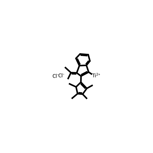 CC(C)=C1C(C2=C(C)C(C)=C(C)C2C)=[C]([Ti+2])c2ccccc21.[Cl-].[Cl-]